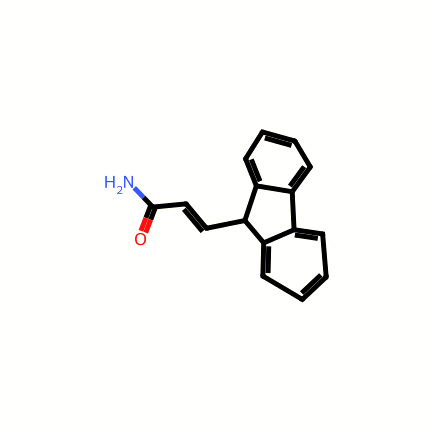 NC(=O)C=CC1c2ccccc2-c2ccccc21